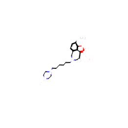 COc1ccc2c3c1O[C@H]1C[C@@H](O)C(C)[C@@]31CCN(CCCCCCN1CCN(C)CC1)C2